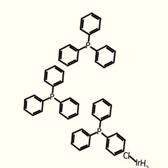 [Cl][IrH2].c1ccc(P(c2ccccc2)c2ccccc2)cc1.c1ccc(P(c2ccccc2)c2ccccc2)cc1.c1ccc(P(c2ccccc2)c2ccccc2)cc1